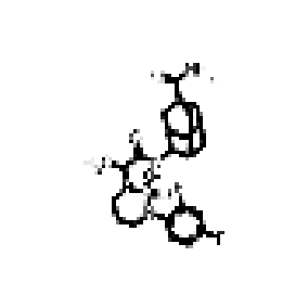 CC(C(=O)NC1C2CC3CC1CC(C(N)=O)(C3)C2)N1CCCN(c2ccc(F)cc2F)S1(=O)=O